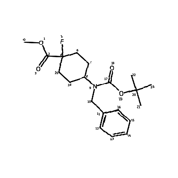 COC(=O)C1(F)CCC(N(Cc2ccccc2)C(=O)OC(C)(C)C)CC1